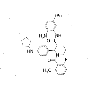 Cc1cccc(F)c1C(=O)N1CCC[C@H](C(=O)Nc2cc(C(C)(C)C)ccc2N)[C@@H]1c1ccc(NC2CCCC2)cc1